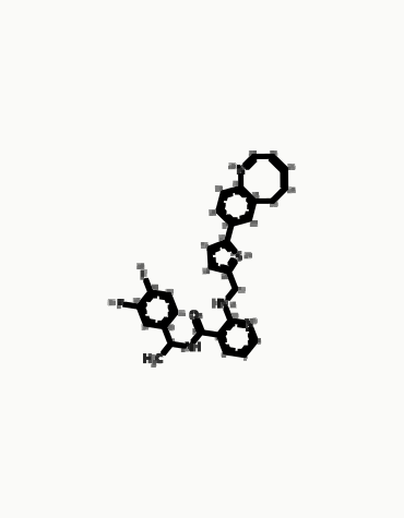 CC(NC(=O)c1cccnc1NCc1ccc(-c2ccc3c(c2)CC=C=C/C=N\3)s1)c1ccc(F)c(F)c1